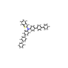 c1ccc(-c2ccc(-c3ccc(N(c4ccc(-c5ccc(-c6ccccc6)cc5)cc4)c4cc5ccccc5s4)cc3)cc2)cc1